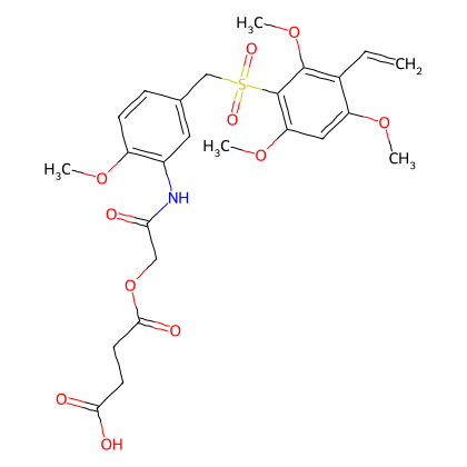 C=Cc1c(OC)cc(OC)c(S(=O)(=O)Cc2ccc(OC)c(NC(=O)COC(=O)CCC(=O)O)c2)c1OC